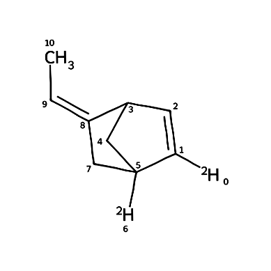 [2H]C1=CC2CC1([2H])CC2=CC